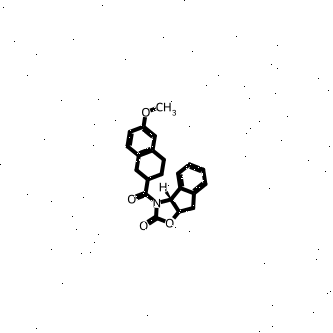 COc1ccc2c(c1)CCC(C(=O)N1C(=O)OC3Cc4ccccc4[C@H]31)C2